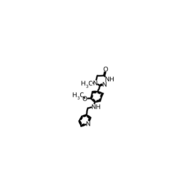 COc1cc(C2=NNC(=O)CN2C)ccc1NCc1cccnc1